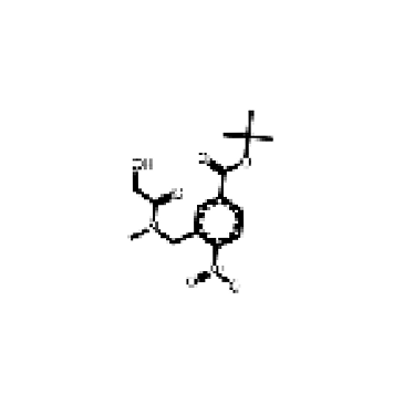 CN(Cc1cc(C(=O)OC(C)(C)C)ccc1[N+](=O)[O-])C(=O)CO